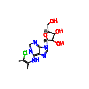 CC(Cl)=C(C)Nc1ncnc2c1ncn2[C@@H]1O[C@H](CO)C(O)C1O